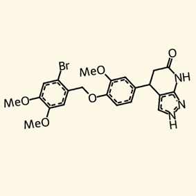 COc1cc(Br)c(COc2ccc(C3CC(=O)Nc4n[nH]cc43)cc2OC)cc1OC